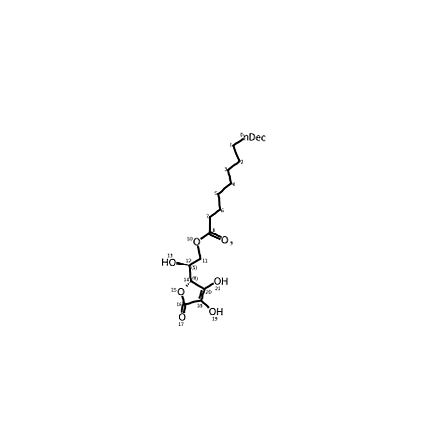 CCCCCCCCCCCCCCCCCC(=O)OC[C@H](O)[C@H]1OC(=O)C(O)=C1O